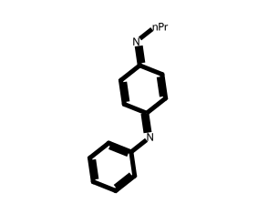 CCCN=C1C=CC(=Nc2ccccc2)C=C1